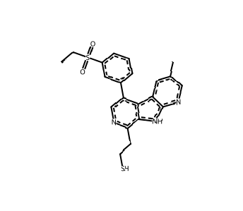 CCS(=O)(=O)c1cccc(-c2cnc(CCS)c3[nH]c4ncc(C)cc4c23)c1